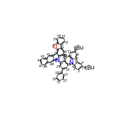 CC(C)(C)c1ccc2c(c1)c1cc(C(C)(C)C)cc3c1n2-c1cc(-c2ccccc2)cc2c1B3c1cc3c4ccccc4oc3c3c4cc5ccccc5cc4n-2c13